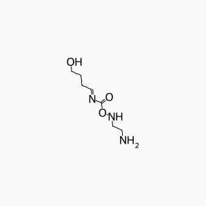 NCCNOC(=O)N=CCCCO